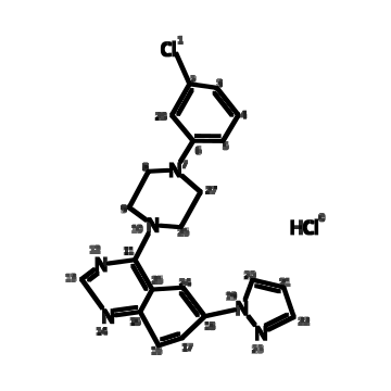 Cl.Clc1cccc(N2CCN(c3ncnc4ccc(-n5cccn5)cc34)CC2)c1